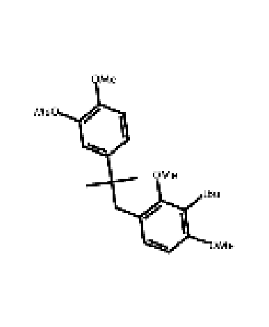 COc1ccc(C(C)(C)Cc2ccc(OC)c(C(C)(C)C)c2OC)cc1OC